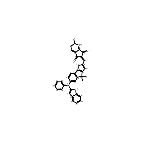 CC1CC=C2C(=O)/C(=C\c3cc4c(s3)-c3ccc(N(c5ccccc5)c5cc6ccccc6s5)cc3C4(C)C)C(=O)C2=N1